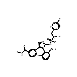 CCNC(=O)c1cccc(-c2nnc(NS(=O)(=O)[C@H](C)Cc3ncc(F)cn3)n2-c2c(OC)cccc2OC)c1